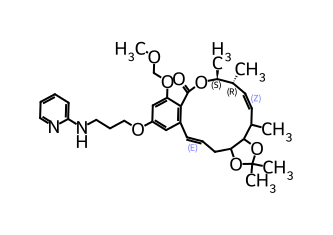 COCOc1cc(OCCCNc2ccccn2)cc2c1C(=O)O[C@@H](C)[C@H](C)/C=C\C(C)C1OC(C)(C)OC1C/C=C/2